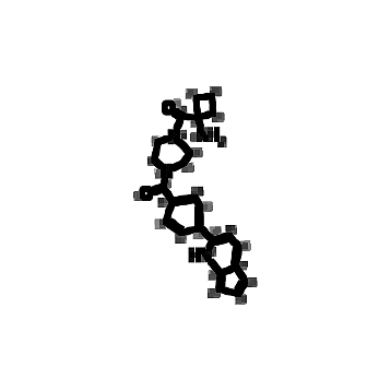 NC1(C(=O)N2CCN(C(=O)c3ccc(-c4ccc5cccc-5[nH]4)cc3)CC2)CCC1